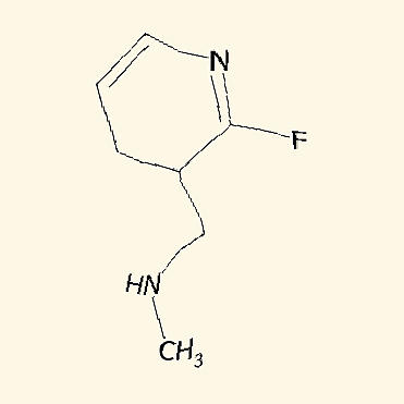 CNCC1CC=CN=C1F